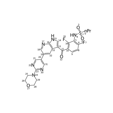 CCCS(=O)(=O)Nc1c(F)ccc(C(=O)c2c[nH]c3ncc(-c4cnc(N5CCOCC5)nc4)cc23)c1F